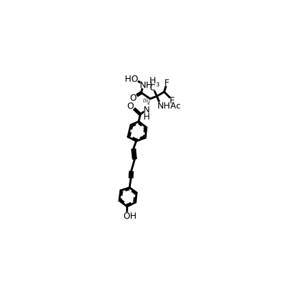 CC(=O)NC(C)(C(F)F)[C@H](NC(=O)c1ccc(C#CC#Cc2ccc(O)cc2)cc1)C(=O)NO